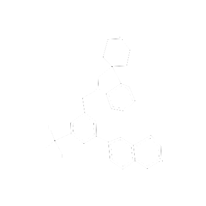 FC(F)(F)c1cc(COCC2(c3ccccc3)CCNCC2)cc(-c2ccc3cnccc3c2)c1